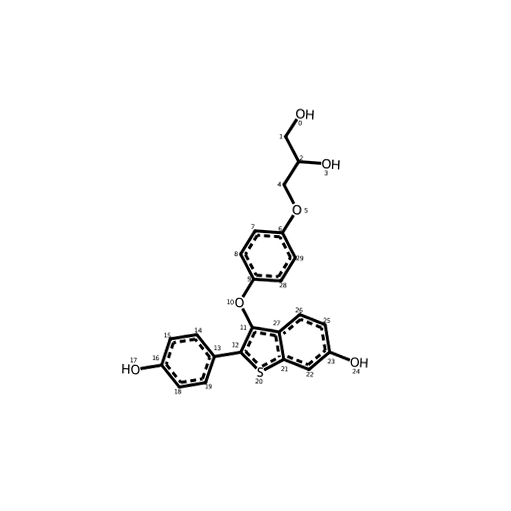 OCC(O)COc1ccc(Oc2c(-c3ccc(O)cc3)sc3cc(O)ccc23)cc1